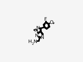 COc1ccc(-c2nn(C)c3nc(CN)ncc23)cc1F